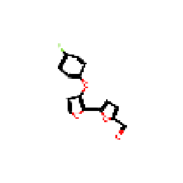 O=Cc1ccc(-c2occc2Oc2ccc(F)cc2)o1